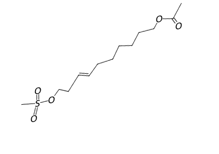 CC(=O)OCCCCCCC=CCCOS(C)(=O)=O